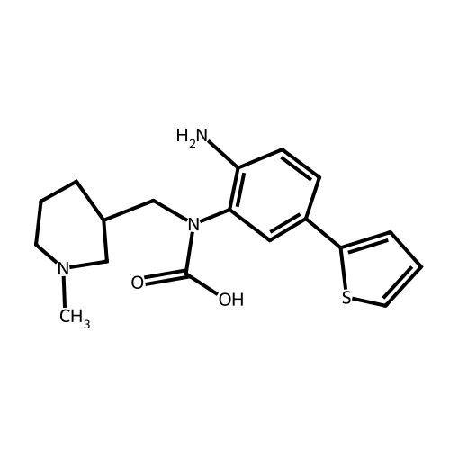 CN1CCCC(CN(C(=O)O)c2cc(-c3cccs3)ccc2N)C1